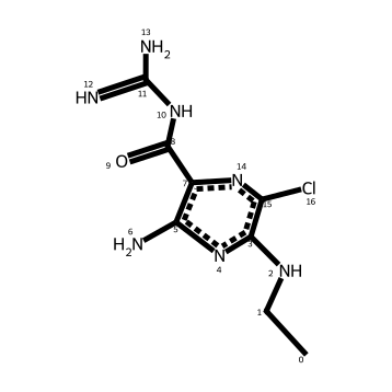 CCNc1nc(N)c(C(=O)NC(=N)N)nc1Cl